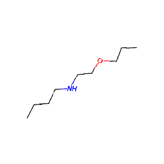 CCCCNCCOCCC